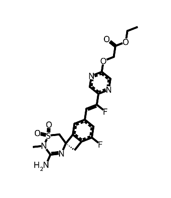 CCOC(=O)COc1cnc(/C(F)=C/c2cc(F)c3c(c2)[C@]2(C3)CS(=O)(=O)N(C)C(N)=N2)cn1